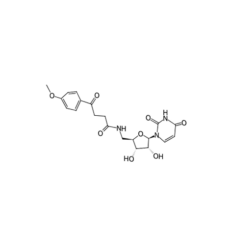 COc1ccc(C(=O)CCC(=O)NC[C@H]2O[C@@H](n3ccc(=O)[nH]c3=O)[C@H](O)[C@@H]2O)cc1